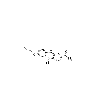 CCCOc1ccc2oc3cc(C(N)=O)ccc3c(=O)c2c1